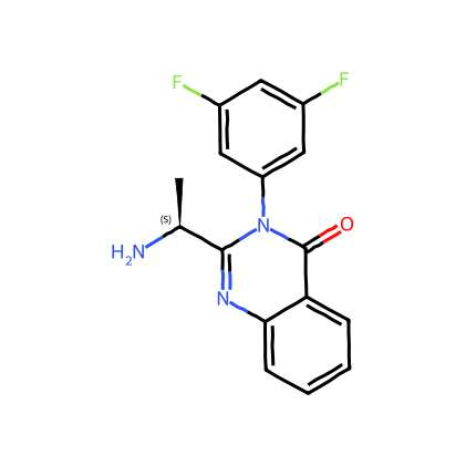 C[C@H](N)c1nc2ccccc2c(=O)n1-c1cc(F)cc(F)c1